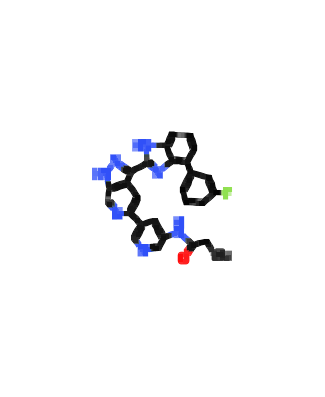 CC(C)(C)CC(=O)Nc1cncc(-c2cc3c(-c4nc5c(-c6cccc(F)c6)cccc5[nH]4)n[nH]c3cn2)c1